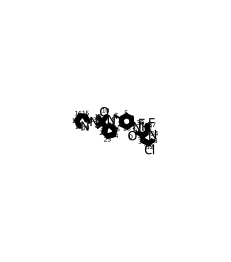 O=C(N[C@H]1CC[C@H](CN2C(=O)C3(CN(c4ccccn4)C3)c3ccccc32)CC1)c1cc(Cl)cnc1C(F)F